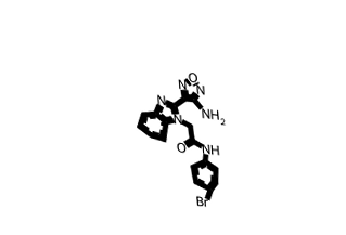 Nc1nonc1-c1nc2ccccc2n1CC(=O)Nc1ccc(Br)cc1